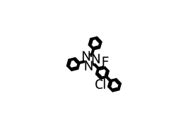 Fc1cc(-c2ccccc2)c(Cl)cc1-c1nc(-c2ccccc2)nc(-c2ccccc2)n1